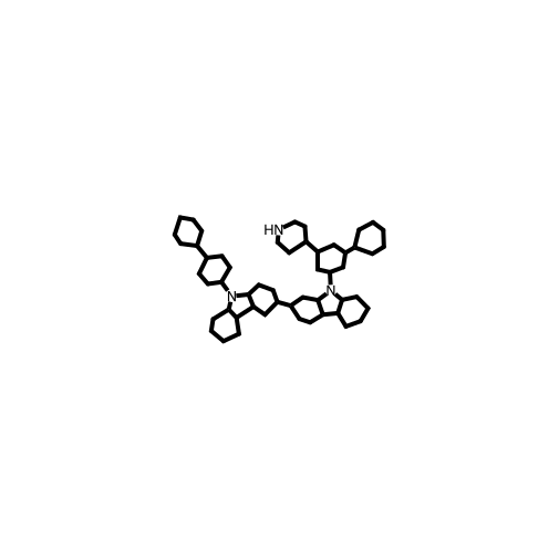 C1CCC(C2CCC(N3C4CCCCC4C4CC(C5CCC6C7CCCCC7N(C7CC(C8CCCCC8)CC(C8CCNCC8)C7)C6C5)CCC43)CC2)CC1